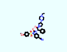 CCN1CCN([C@H]2CCN(C(=O)C(c3ccccc3)n3c(=O)n(S(=O)(=O)c4ccc(OC)cc4)c4ccc(C#N)cc43)C2)CC1